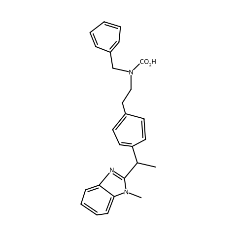 CC(c1ccc(CCN(Cc2ccccc2)C(=O)O)cc1)c1nc2ccccc2n1C